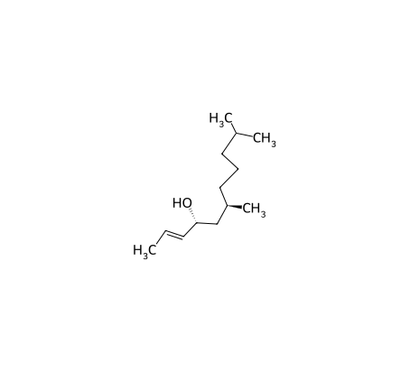 CC=C[C@H](O)C[C@H](C)CCCC(C)C